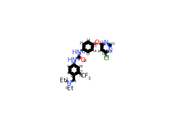 CCN(CC)Cc1ccc(NC(=O)Nc2ccc(Oc3cc(Cl)ncn3)cc2)cc1C(F)(F)F